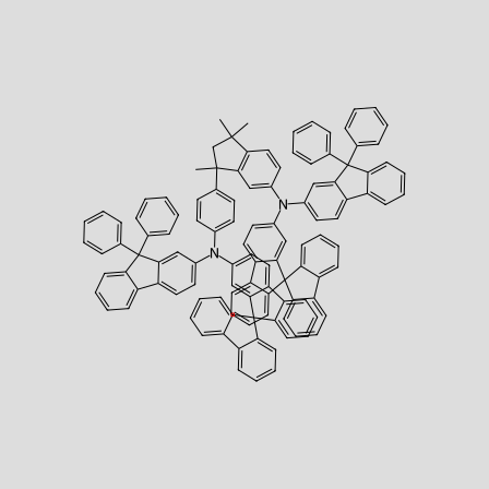 CC1(C)CC(C)(c2ccc(N(c3ccc4c(c3)C(c3ccccc3)(c3ccccc3)c3ccccc3-4)c3ccc4c(c3)C3(c5ccccc5-c5ccccc53)c3ccccc3-4)cc2)c2cc(N(c3ccc4c(c3)C(c3ccccc3)(c3ccccc3)c3ccccc3-4)c3ccc4c(c3)C3(c5ccccc5-c5ccccc53)c3ccccc3-4)ccc21